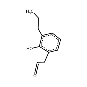 CCCc1cccc(CC=O)c1O